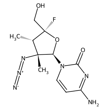 C[C@H]1[C@@](C)(N=[N+]=[N-])[C@H](n2ccc(N)nc2=O)O[C@]1(F)CO